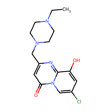 CCN1CCN(Cc2cc(=O)n3cc(Cl)cc(O)c3n2)CC1